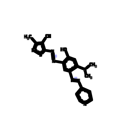 Cc1nsc(/N=N/c2cc(/N=N/c3ccncc3)c(N(C)C)cc2O)c1C#N